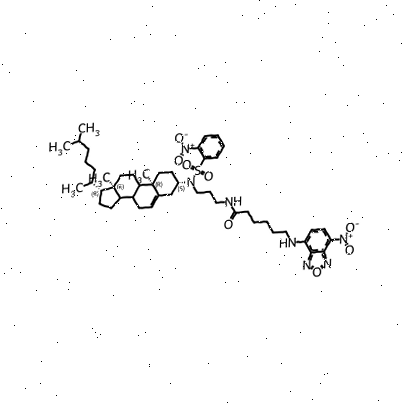 CC(C)CCCC(C)[C@H]1CCC2C3CC=C4C[C@@H](N(CCCNC(=O)CCCCCNc5ccc([N+](=O)[O-])c6nonc56)S(=O)(=O)c5ccccc5[N+](=O)[O-])CC[C@]4(C)C3CC[C@@]21C